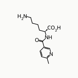 Cc1ccc(C(=O)N[C@@H](CCCCN)C(=O)O)cn1